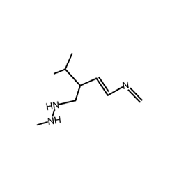 C=N/C=C/C(CNNC)C(C)C